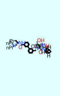 CCCN(CCC)C[C@@H](CC(C)C)NC(=O)c1cccc(-c2cccc(CN3O[C@@H](CO)[C@H]([C@H](C)O)[C@H]3C(=O)N[C@H]3C[C@H]4C[C@@H]([C@@H]3C)C4(C)C)c2OC)c1